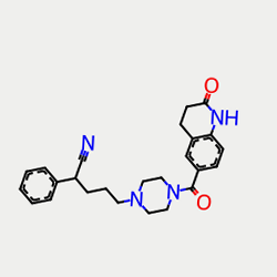 N#CC(CCCN1CCN(C(=O)c2ccc3c(c2)CCC(=O)N3)CC1)c1ccccc1